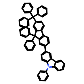 c1ccc(-n2c3ccccc3c3cc(-c4ccc5c(c4)C(c4ccccc4)(c4ccccc4)c4cc(C(c6ccccc6)(c6ccccc6)c6ccccc6)ccc4-5)ccc32)cc1